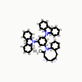 C=C1/C=C\C=C/Cc2ccccc2N1c1cc(-n2c3ccccc3c3ccccc32)cc(-n2c3ccccc3c3ccccc32)c1